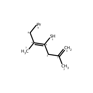 C=C(C)C/C(S)=C(\C)CC(C)C